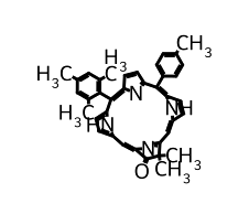 Cc1ccc(-c2c3nc(c(-c4c(C)cc(C)cc4C)c4ccc(cc5nc(cc6ccc2[nH]6)C(C)(C)C5=O)[nH]4)C=C3)cc1